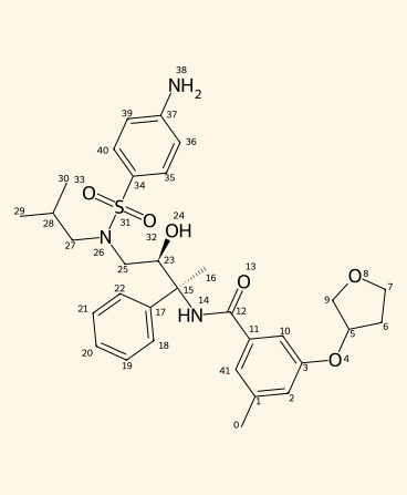 Cc1cc(OC2CCOC2)cc(C(=O)N[C@@](C)(c2ccccc2)[C@H](O)CN(CC(C)C)S(=O)(=O)c2ccc(N)cc2)c1